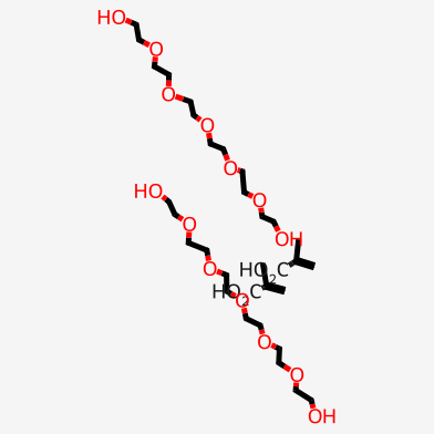 C=C(C)C(=O)O.C=C(C)C(=O)O.OCCOCCOCCOCCOCCOCCO.OCCOCCOCCOCCOCCOCCO